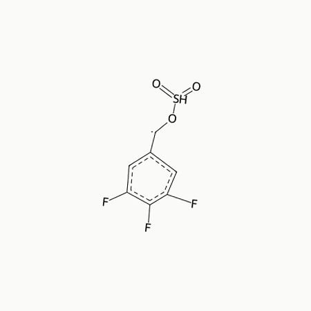 O=[SH](=O)O[CH]c1cc(F)c(F)c(F)c1